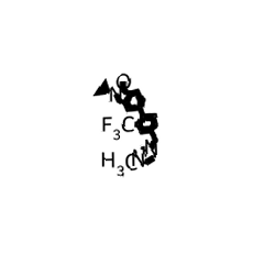 CN1CCN(Cc2ccc(-c3ccc4c(c3)CN(C3CC3)C4=O)c(C(F)(F)F)c2)C1